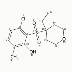 Cc1ccc(Cl)c(S(=O)(=O)C2(CF)CCOCC2)c1O